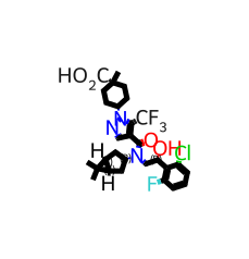 CC1(C)[C@@H]2C[C@H](N(C[C@H](O)c3c(F)cccc3Cl)C(=O)c3cnn([C@H]4CC[C@](C)(C(=O)O)CC4)c3C(F)(F)F)C[C@@H]21